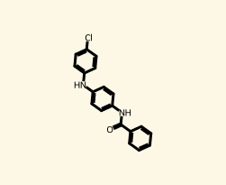 O=C(Nc1ccc(Nc2ccc(Cl)cc2)cc1)c1ccccc1